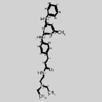 CCN(CC)CCNC(=O)CCc1ccc(Nc2nc(C)cc(Nc3ccccc3)n2)cc1